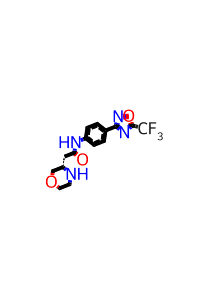 O=C(C[C@H]1COCCN1)Nc1ccc(-c2noc(C(F)(F)F)n2)cc1